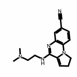 CN(C)CCNC1=Nc2cc(C#N)ccc2N2CCC=C12